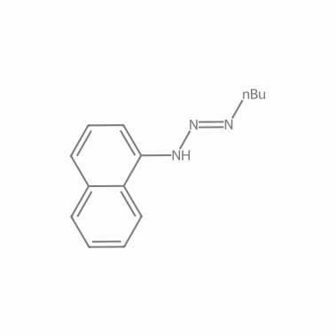 CCCCN=NNc1cccc2ccccc12